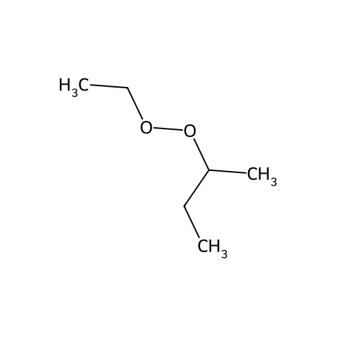 CCOOC(C)CC